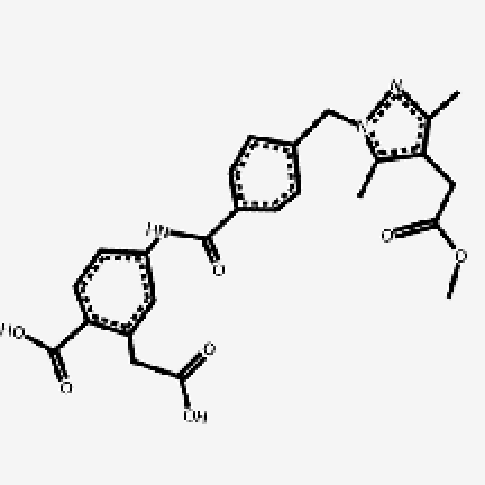 COC(=O)Cc1c(C)nn(Cc2ccc(C(=O)Nc3ccc(C(=O)O)c(CC(=O)O)c3)cc2)c1C